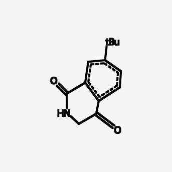 CC(C)(C)c1ccc2c(c1)C(=O)NCC2=O